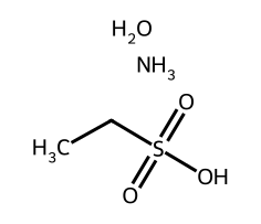 CCS(=O)(=O)O.N.O